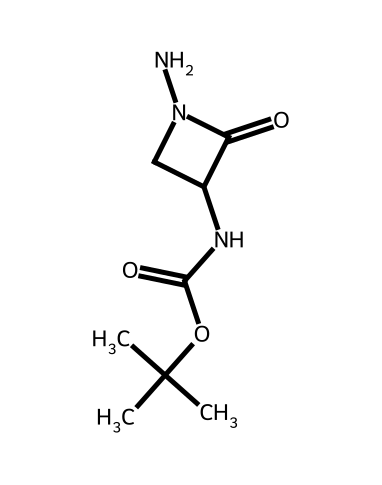 CC(C)(C)OC(=O)NC1CN(N)C1=O